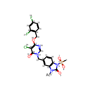 CC(=O)n1c(=O)n(S(C)(=O)=O)c2ccc(Cn3cnc(OCc4ccc(F)cc4F)c(Cl)c3=O)cc21